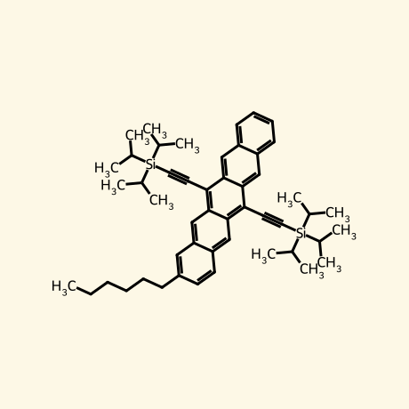 CCCCCCc1ccc2cc3c(C#C[Si](C(C)C)(C(C)C)C(C)C)c4cc5ccccc5cc4c(C#C[Si](C(C)C)(C(C)C)C(C)C)c3cc2c1